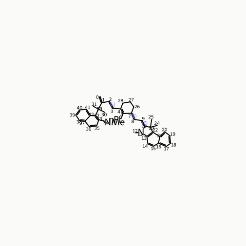 C=C(/C=C/C1=C(CCC)C(=C/C=C2\N(C)c3ccc4ccccc4c3C2(C)C)/CCC1)C(C)(C)c1c(NC)ccc2ccccc12